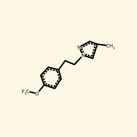 Cc1cnn(CCc2ccc(OC(F)(F)F)cc2)c1